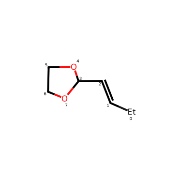 CC/C=C/C1OCCO1